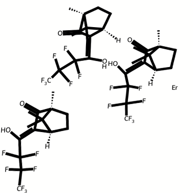 CC1(C)[C@H]2CC[C@]1(C)C(=O)/C2=C(/O)C(F)(F)C(F)(F)C(F)(F)F.CC1(C)[C@H]2CC[C@]1(C)C(=O)/C2=C(\O)C(F)(F)C(F)(F)C(F)(F)F.CC1(C)[C@H]2CC[C@]1(C)C(=O)/C2=C(\O)C(F)(F)C(F)(F)C(F)(F)F.[Er]